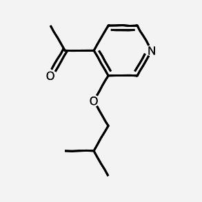 CC(=O)c1ccncc1OCC(C)C